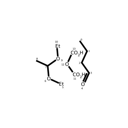 CCCC=O.CCOC(C)OCC.O=C(O)OC(=O)O